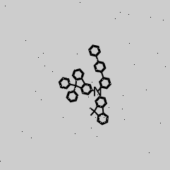 CC1(C)c2ccccc2-c2ccc(N(c3cccc(-c4ccc(-c5ccccc5)cc4)c3)c3ccc4c(c3)-c3ccccc3C4(c3ccccc3)c3ccccc3)cc21